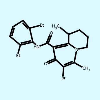 CCc1cccc(CC)c1NC(=O)c1c2n(c(C)c(Br)c1=O)CCCC2C